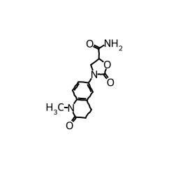 CN1C(=O)CCc2cc(N3CC(C(N)=O)OC3=O)ccc21